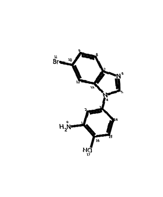 Nc1cc(-n2cnc3ccc(Br)cc32)ccc1O